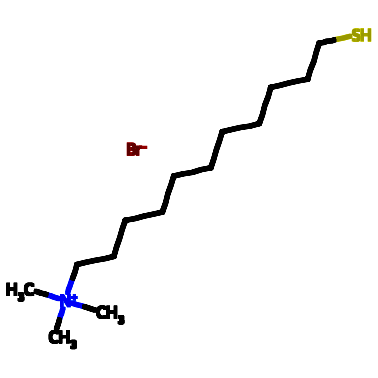 C[N+](C)(C)CCCCCCCCCCCS.[Br-]